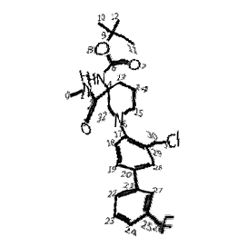 CNC(=O)C1(NC(=O)OC(C)(C)C)CCCN(c2ccc(-c3cccc(F)c3)cc2CCl)C1